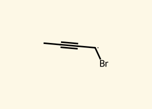 CC#C[CH]Br